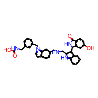 O=C(O)NCc1cccc(Cn2ccc3ccc(CNCc4[nH]c5ccccc5c4C4NC(=O)c5ccc(O)cc54)cc32)c1